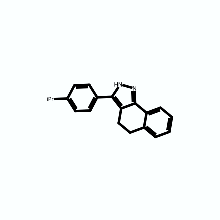 CC(C)c1ccc(-c2[nH]nc3c2CCc2ccccc2-3)cc1